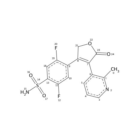 Cc1ncccc1C1=C(c2cc(F)c(S(N)(=O)=O)cc2F)COC1=O